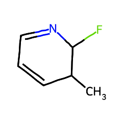 CC1C=CC=NC1F